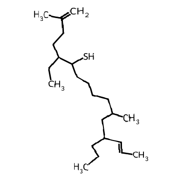 C=C(C)CCC(CC)C(S)CCCCC(C)CC(C=CC)CCC